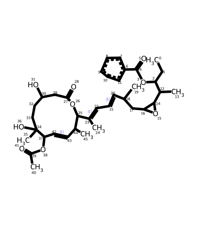 CCC(OC(=O)c1ccccc1)C(C)C1OC1CC(C)/C=C/C=C(\C)C1OC(=O)CC(O)CCC(C)(O)C(OC(C)=O)/C=C/C1C